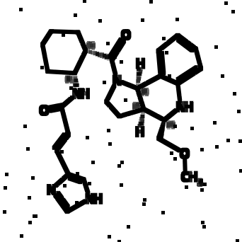 COC[C@@H]1Nc2ccccc2[C@H]2[C@@H]1CCN2C(=O)[C@H]1CCCC[C@H]1NC(=O)C=Cc1c[nH]cn1